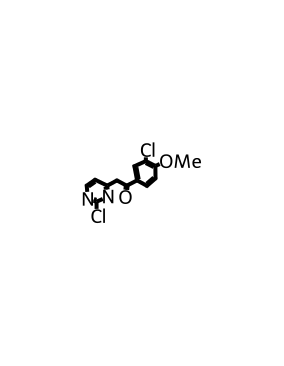 COc1ccc(C(=O)Cc2ccnc(Cl)n2)cc1Cl